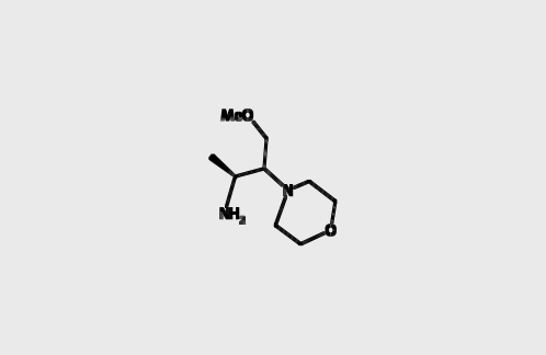 COCC([C@H](C)N)N1CCOCC1